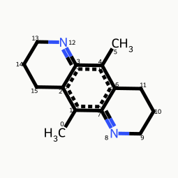 Cc1c2c(c(C)c3c1=NCCC3)=NCCC2